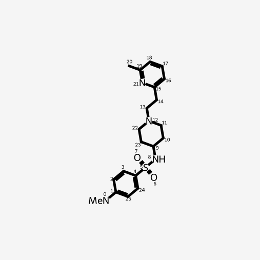 CNc1ccc(S(=O)(=O)NC2CCN(CCc3cccc(C)n3)CC2)cc1